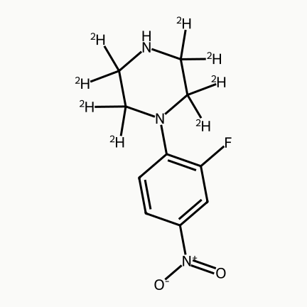 [2H]C1([2H])NC([2H])([2H])C([2H])([2H])N(c2ccc([N+](=O)[O-])cc2F)C1([2H])[2H]